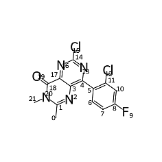 Cc1nc2c(-c3ccc(F)cc3Cl)nc(Cl)nc2c(=O)n1C